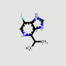 CC(C)c1ncc(F)c2[nH]cnc12